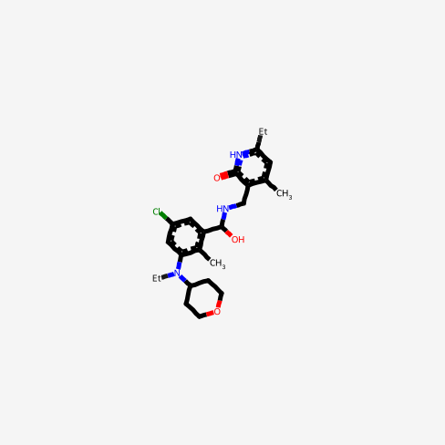 CCc1cc(C)c(CNC(O)c2cc(Cl)cc(N(CC)C3CCOCC3)c2C)c(=O)[nH]1